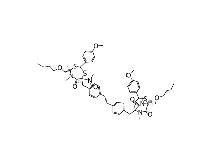 CCCCOC[C@@]1(C)SC(c2ccc(OC)cc2)S[C@](Cc2ccc(CCc3ccc(CC45SC(c6ccc(OC)cc6)S[C@@](COCCCC)(C(=O)N4C)N(C)C5=O)cc3)cc2)(N(C)C=O)C(=O)N1C